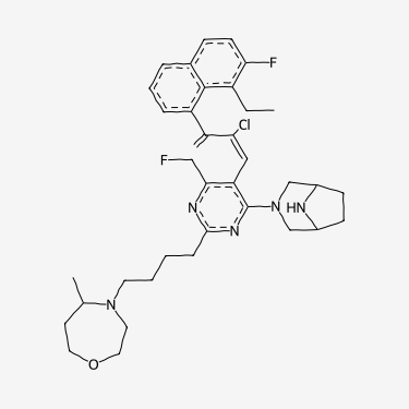 C=C(/C(Cl)=C\c1c(CF)nc(CCCCN2CCOCCC2C)nc1N1CC2CCC(C1)N2)c1cccc2ccc(F)c(CC)c12